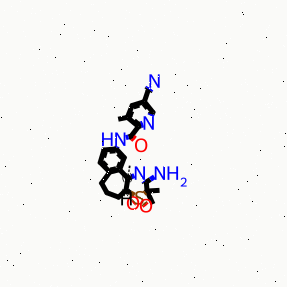 Cc1cc(C#N)cnc1C(=O)Nc1ccc2c(c1)[C@@]1(C)N=C(N)C(C)(C)S(=O)(=O)[C@@H]1CCC2